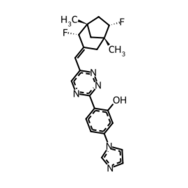 C[C@]12C/C(=C\c3cnc(-c4ccc(-n5ccnc5)cc4O)nn3)[C@H](F)[C@](C)(C[C@@H]1F)C2